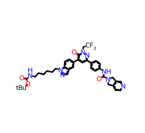 CC(C)(C)OC(=O)NCCCCCCn1ncc2cc(-c3cc(-c4ccc(NC(=O)N5Cc6ccncc6C5)cc4)nn(CC(F)(F)F)c3=O)ccc21